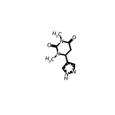 CN1C(=O)CC(c2cn[nH]c2)N(C)C1=O